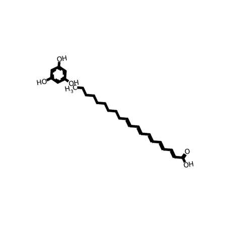 CCCCCCCCC/C=C/C=C/C=C/C=C/C=C/C(=O)O.Oc1cc(O)cc(O)c1